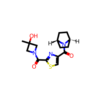 CC1(O)CN(C(=O)c2nc(C(=O)N3[C@H]4CC[C@H]3CC4)cs2)C1